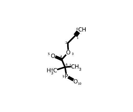 C#CCOC(=O)C(C)(C)P=O